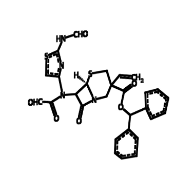 C=CC1(C(=O)OC(c2ccccc2)c2ccccc2)CS[C@@H]2C(N(C(=O)C=O)c3csc(NC=O)n3)C(=O)N2C1